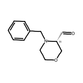 O=C[C@@H]1COCCN1Cc1ccccc1